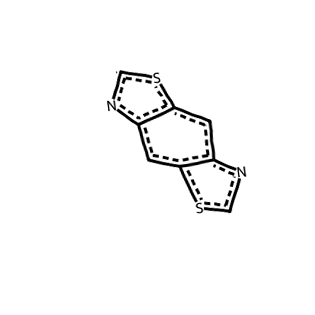 [c]1nc2cc3scnc3cc2s1